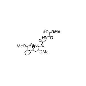 CC[C@H](C)C(C(CC(=O)N1CCC[C@H]1C(OC)C(C)C)OC)N(C)C(=O)CNC(=O)C(NC)C(C)C